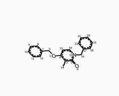 O=c1c(I)c(OCc2ccccc2)ccn1Cc1ccccc1